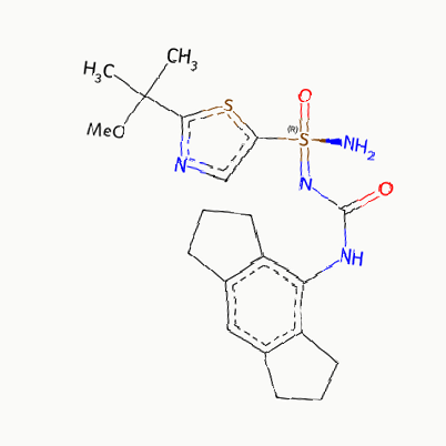 COC(C)(C)c1ncc([S@](N)(=O)=NC(=O)Nc2c3c(cc4c2CCC4)CCC3)s1